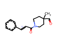 CC1(C=O)CCN(C(=O)/C=C/c2ccccc2)CC1